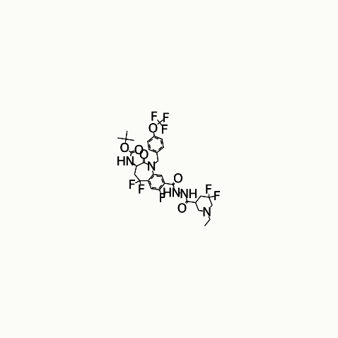 CCN1CC(C(=O)NNC(=O)c2cc3c(cc2F)C(F)(F)C[C@@H](NC(=O)OC(C)(C)C)C(=O)N3Cc2ccc(OC(F)(F)F)cc2)CC(F)(F)C1